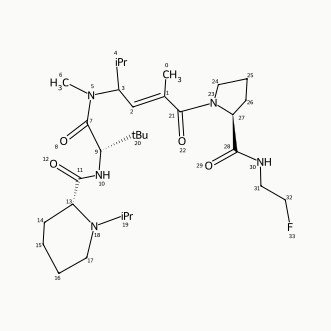 C/C(=C\C(C(C)C)N(C)C(=O)[C@@H](NC(=O)[C@H]1CCCCN1C(C)C)C(C)(C)C)C(=O)N1CCC[C@H]1C(=O)NCCF